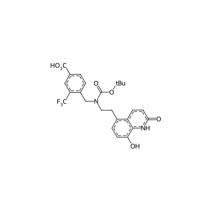 CC(C)(C)OC(=O)N(CCc1ccc(O)c2[nH]c(=O)ccc12)Cc1ccc(C(=O)O)cc1C(F)(F)F